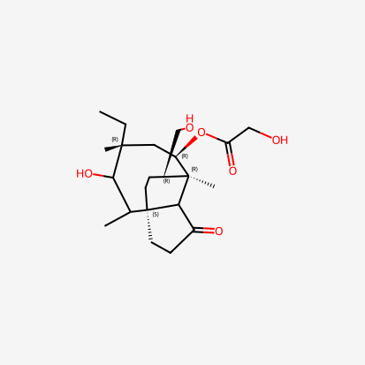 CC[C@]1(C)C[C@@H](OC(=O)CO)[C@@]2(C)C3C(=O)CC[C@@]3(CC[C@H]2CO)C(C)C1O